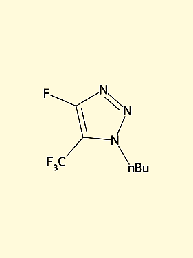 CCCCn1nnc(F)c1C(F)(F)F